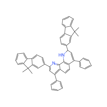 CC1(C)c2ccccc2-c2ccc(-c3cc(-c4ccccc4)c4ccc5c(c4n3)NC(c3ccc4c(c3)C(C)(C)c3ccccc3-4)C=C5c3ccccc3)cc21